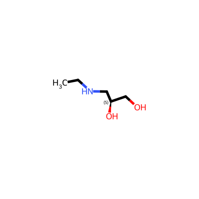 CCNC[C@H](O)CO